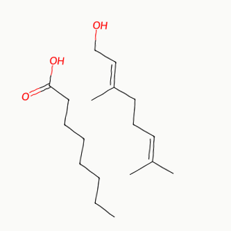 CC(C)=CCC/C(C)=C/CO.CCCCCCCC(=O)O